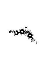 CCCN1CCC(c2ccc(NS(=O)(=O)c3ccc(CC(F)(F)F)cc3)cc2)C1